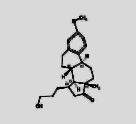 COc1ccc2c(c1)CC[C@H]1[C@@H]3[C@H](CCCO)CC(=O)[C@@]3(C)CC[C@H]21